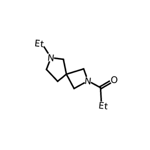 CCC(=O)N1CC2(CCN(CC)C2)C1